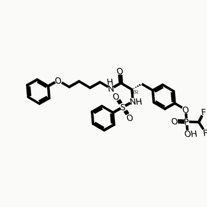 O=C(NCCCCOc1ccccc1)[C@H](Cc1ccc(OP(=O)(O)C(F)F)cc1)NS(=O)(=O)c1ccccc1